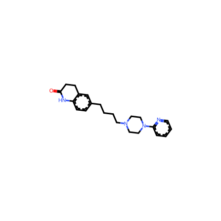 O=C1CCc2cc(CCCCN3CCN(c4ccccn4)CC3)ccc2N1